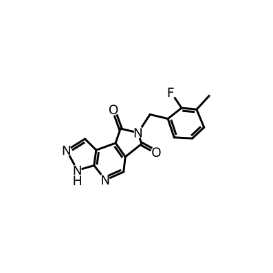 Cc1cccc(CN2C(=O)c3cnc4[nH]ncc4c3C2=O)c1F